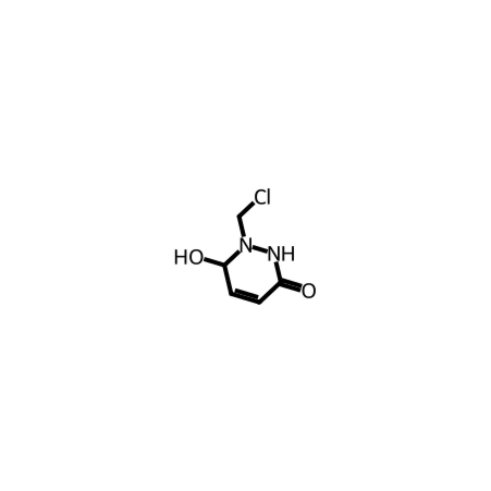 O=C1C=CC(O)N(CCl)N1